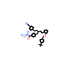 CC(C)(C)c1ccc(COc2ccccc2/C=C/C(CCc2ccc(C#N)cc2)Cc2ccc(C(=O)NN)cc2)cc1